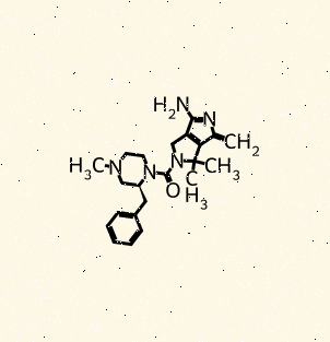 C=C1N=C(N)C2=C1C(C)(C)N(C(=O)N1CCN(C)C[C@@H]1Cc1ccccc1)C2